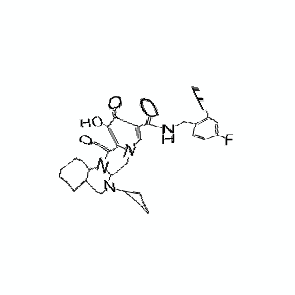 O=C(NCc1ccc(F)cc1F)c1cn2c(c(O)c1=O)C(=O)N1C3CCCCC3CN(C3CC3)C1C2